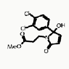 COC(=O)CCN1C(=O)C=CC1(O)c1ccc(Cl)c(Cl)c1